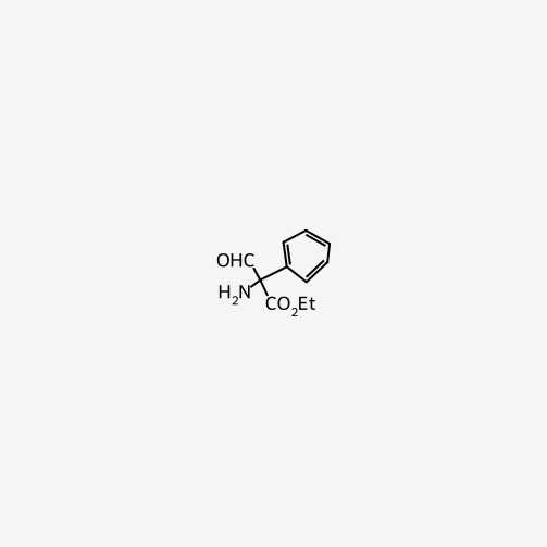 CCOC(=O)C(N)(C=O)c1ccccc1